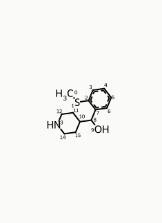 CSc1ccccc1C(O)C1CCNCC1